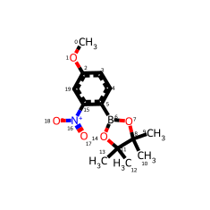 COc1ccc(B2OC(C)(C)C(C)(C)O2)c([N+](=O)[O-])c1